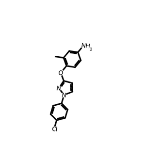 Cc1cc(N)ccc1Oc1ccn(-c2ccc(Cl)cc2)n1